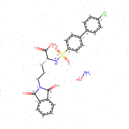 NO.O=C(O)[C@@H](CCCN1C(=O)c2ccccc2C1=O)NS(=O)(=O)c1ccc(-c2ccc(Cl)cc2)cc1